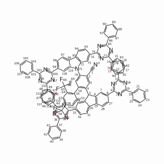 N#Cc1cc(C2c3cc(-c4nc(-c5ccccc5)nc(-c5ccccc5)n4)ccc3-c3ccc(-c4nc(-c5ccccc5)nc(-c5ccccc5)n4)cc32)c(-c2ccc(C(F)(F)F)cc2C(F)(F)F)cc1-n1c2cc(-c3nc(-c4ccccc4)nc(-c4ccccc4)n3)ccc2c2ccc(-c3nc(-c4ccccc4)nc(-c4ccccc4)n3)cc21